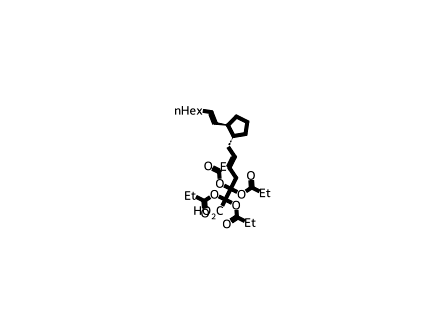 CCCCCCC=C[C@H]1CCC[C@@H]1CC=CCC(OC(=O)CC)(OC(=O)CC)C(OC(=O)CC)(OC(=O)CC)C(=O)O